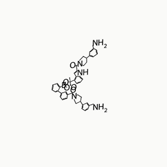 C[C@]1(c2cccc3[nH]c(C(=O)N4CCC(c5cccc(CN)c5)CC4)cc23)OB(c2ccccc2-c2cccc(C(=O)N3CCC(c4cccc(CN)c4)CC3)c2)OC1=O